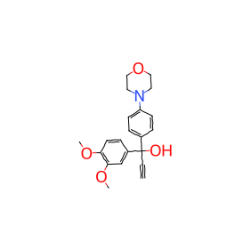 C#CC(O)(c1ccc(N2CCOCC2)cc1)c1ccc(OC)c(OC)c1